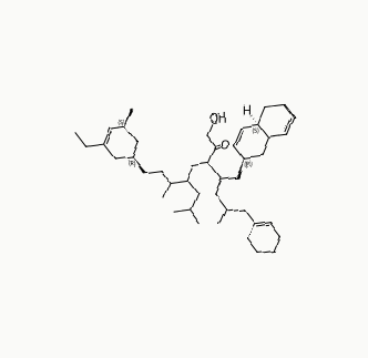 CCC1=C[C@@H](C)C[C@@H](CCC(C)C(CC(C)C)CC(C(=O)CO)C(CC(C)CC2=CCCCC2)C[C@H]2C=C[C@H]3CCC=CC3C2)C1